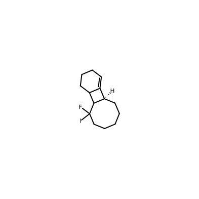 FC1(I)CCCCC[C@@H]2C3=CCCCC3C21